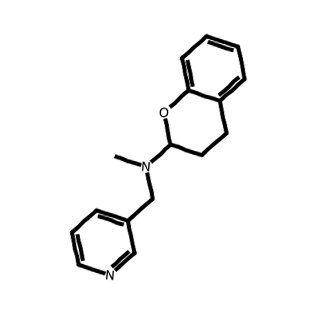 CN(Cc1cccnc1)C1CCc2ccccc2O1